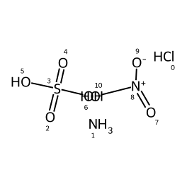 Cl.N.O=S(=O)(O)O.O=[N+]([O-])O